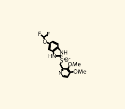 COc1ccnc(C[S+]([O-])[C@@H]2Nc3ccc(OC(F)F)cc3N2)c1OC